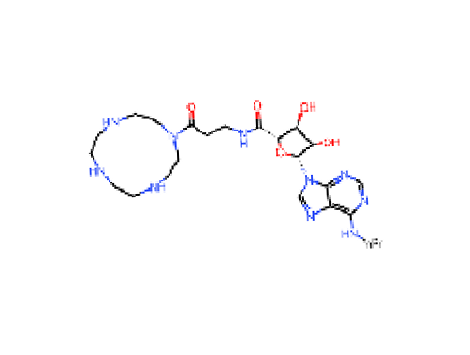 CCCNc1ncnc2c1ncn2[C@@H]1O[C@H](C(=O)NCCC(=O)N2CCNCCNCCNCC2)[C@@H](O)[C@H]1O